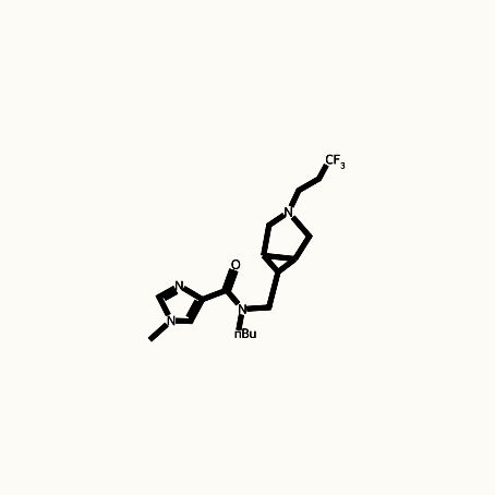 CCCCN(CC1C2CN(CCC(F)(F)F)CC21)C(=O)c1cn(C)cn1